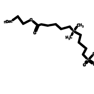 CCCCCCCCCCCCOC(=O)CCCCC[N+](C)(C)CCCCS(=O)(=O)[O-]